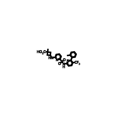 Cc1ccccc1-c1nc(NS(=O)(=O)c2cccc(NC3CC(C)(C(=O)O)C3)n2)ccc1C(F)(F)F